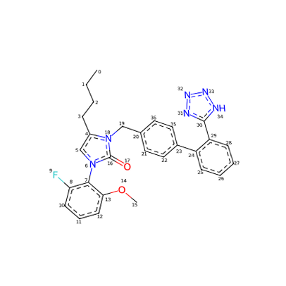 CCCCc1cn(-c2c(F)cccc2OC)c(=O)n1Cc1ccc(-c2ccccc2-c2nnn[nH]2)cc1